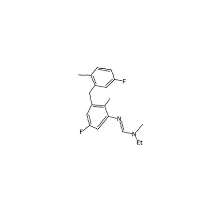 CCN(C)C=Nc1cc(F)cc(Cc2cc(F)ccc2C)c1C